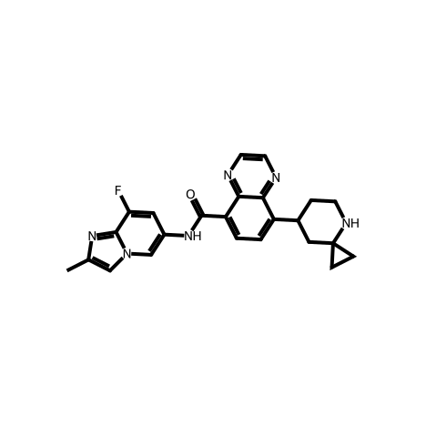 Cc1cn2cc(NC(=O)c3ccc(C4CCNC5(CC5)C4)c4nccnc34)cc(F)c2n1